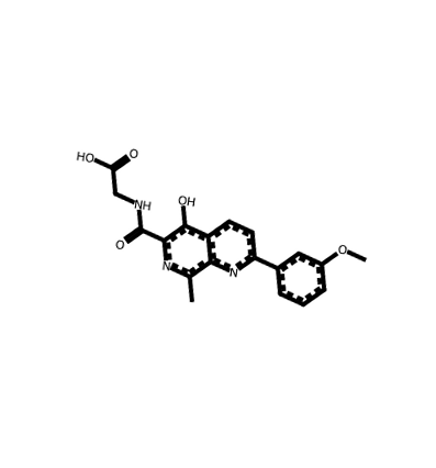 COc1cccc(-c2ccc3c(O)c(C(=O)NCC(=O)O)nc(C)c3n2)c1